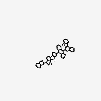 c1ccc2cc(-c3coc4c3ccc3c5ccc(-c6c7ccccc7c(-c7cc8ccccc8c8c7oc7ccccc78)c7ccccc67)cc5sc34)ccc2c1